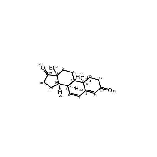 CC[C@]12CC[C@H]3[C@@H](C=CC4=CC(=O)CC[C@@]43C)[C@@H]1CCC2=O